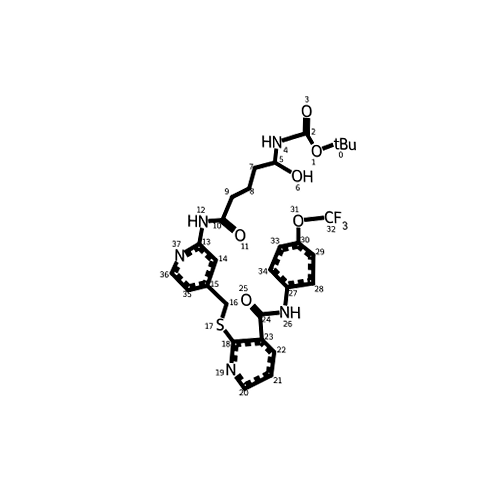 CC(C)(C)OC(=O)NC(O)CCCC(=O)Nc1cc(CSc2ncccc2C(=O)Nc2ccc(OC(F)(F)F)cc2)ccn1